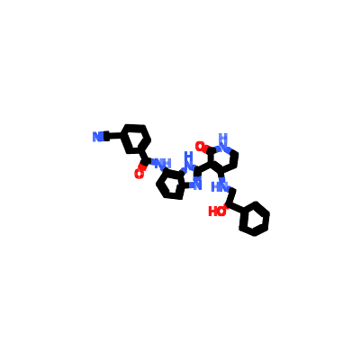 N#Cc1cccc(C(=O)Nc2cccc3nc(-c4c(NCC(O)c5ccccc5)cc[nH]c4=O)[nH]c23)c1